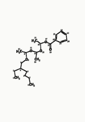 CCCCC(CC)COC(C)OC(C)OC(C)OC(=O)c1ccccc1